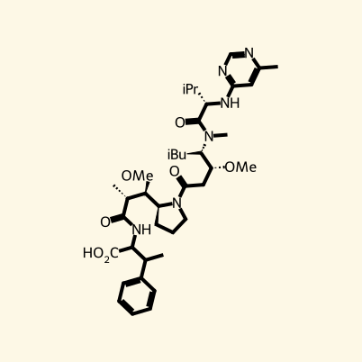 CC[C@H](C)[C@@H]([C@@H](CC(=O)N1CCC[C@H]1[C@H](OC)[C@@H](C)C(=O)NC(C(=O)O)C(C)c1ccccc1)OC)N(C)C(=O)[C@@H](Nc1cc(C)ncn1)C(C)C